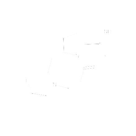 NC(=O)C1CCC2CCN(CC(F)F)CCC(=O)N21